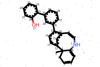 CC12CC=CC=C1N/C=C\c1cc2ccc1-c1cccc(-c2ccccc2O)c1